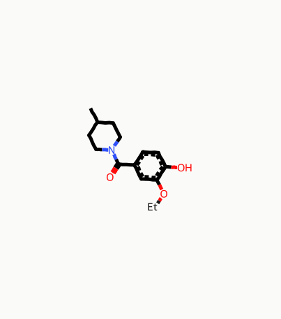 CCOc1cc(C(=O)N2CCC(C)CC2)ccc1O